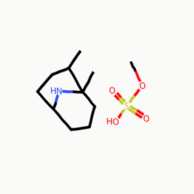 CC1CCC2CCCC1(C)N2.COS(=O)(=O)O